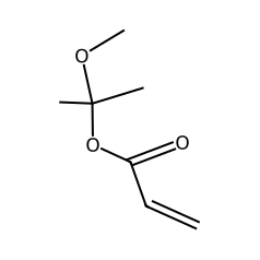 C=CC(=O)OC(C)(C)OC